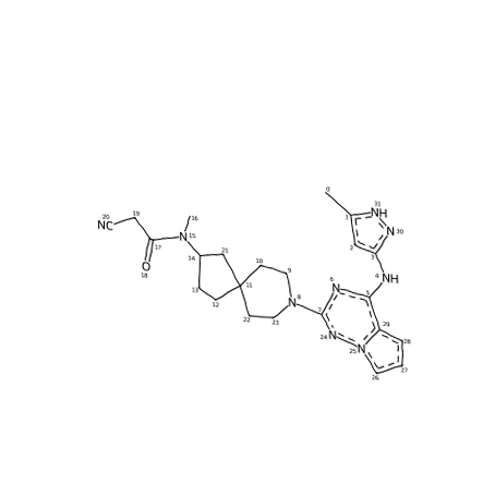 Cc1cc(Nc2nc(N3CCC4(CCC(N(C)C(=O)CC#N)C4)CC3)nn3cccc23)n[nH]1